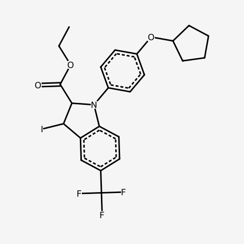 CCOC(=O)C1C(I)c2cc(C(F)(F)F)ccc2N1c1ccc(OC2CCCC2)cc1